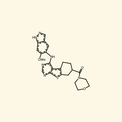 COc1cc2[nH]ncc2cc1Nc1ncnc2sc3c(c12)CCC(C(=O)N1CCOCC1)C3